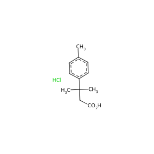 Cc1ccc(C(C)(C)CC(=O)O)cc1.Cl